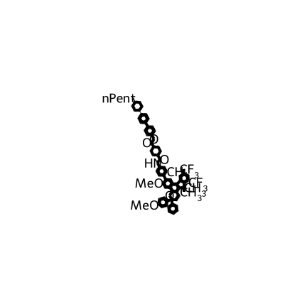 CCCCC[C@H]1CC[C@H](c2ccc(-c3ccc(OC(=O)C4CCC(C(=O)Nc5ccc(-c6cc7c8c(c9c(c7cc6OC)OC(c6ccccc6)(c6ccc(OC)cc6)C=C9)C(C)(C)c6c-8cc(C(F)(F)F)cc6C(F)(F)F)c(C)c5)CC4)cc3)cc2)CC1